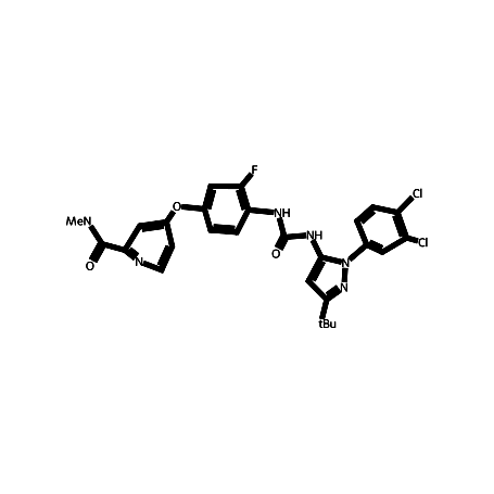 CNC(=O)c1cc(Oc2ccc(NC(=O)Nc3cc(C(C)(C)C)nn3-c3ccc(Cl)c(Cl)c3)c(F)c2)ccn1